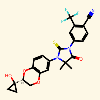 CC1(C)C(=O)N(c2ccc(C#N)c(C(F)(F)F)c2)C(=S)N1c1ccc2c(c1)OC[C@H](C1(O)CC1)O2